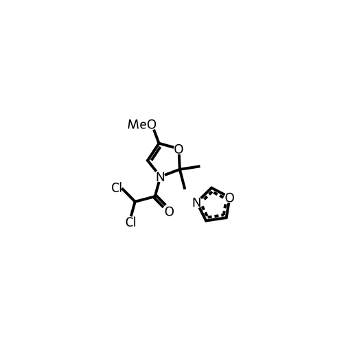 COC1=CN(C(=O)C(Cl)Cl)C(C)(C)O1.c1cocn1